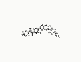 CC(Cc1ccc(-n2ccc(NC(=O)N3CCNCC3)nc2=O)cc1)N(C)C1CCC(CN)CC1